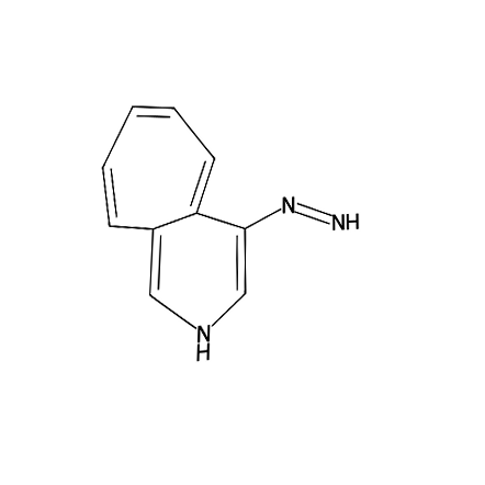 N=NC1=CNC=C2C=CC=CC=C21